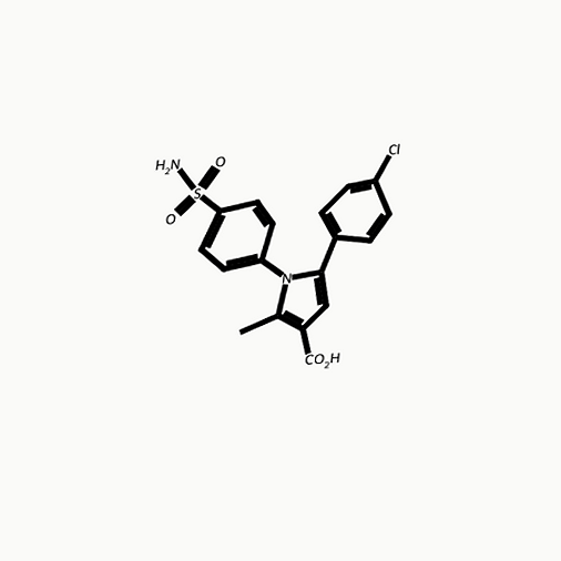 Cc1c(C(=O)O)cc(-c2ccc(Cl)cc2)n1-c1ccc(S(N)(=O)=O)cc1